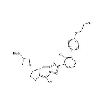 N#Cc1c2c(cc3nc(-c4cccc(-c5ccc(OCCO)cc5)c4Cl)oc13)[C@@H](N1CC(C(=O)O)C1)CC2